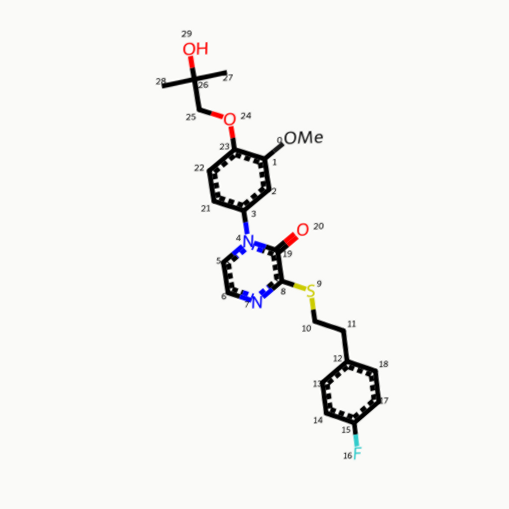 COc1cc(-n2ccnc(SCCc3ccc(F)cc3)c2=O)ccc1OCC(C)(C)O